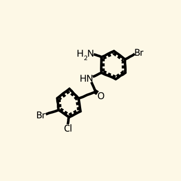 Nc1cc(Br)ccc1NC(=O)c1ccc(Br)c(Cl)c1